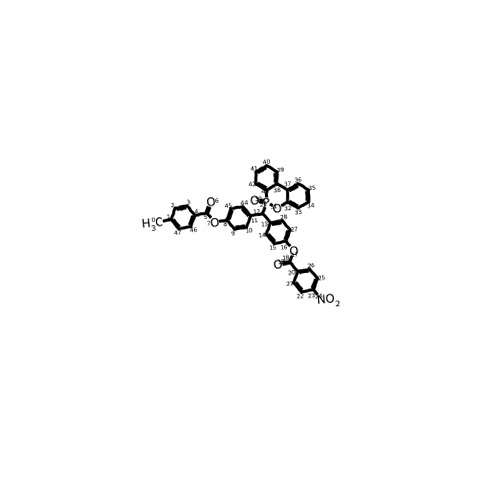 Cc1ccc(C(=O)Oc2ccc(C(c3ccc(OC(=O)c4ccc([N+](=O)[O-])cc4)cc3)P3(=O)Oc4ccccc4-c4ccccc43)cc2)cc1